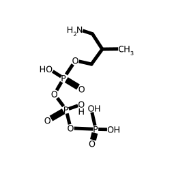 CC(CN)COP(=O)(O)OP(=O)(O)OP(=O)(O)O